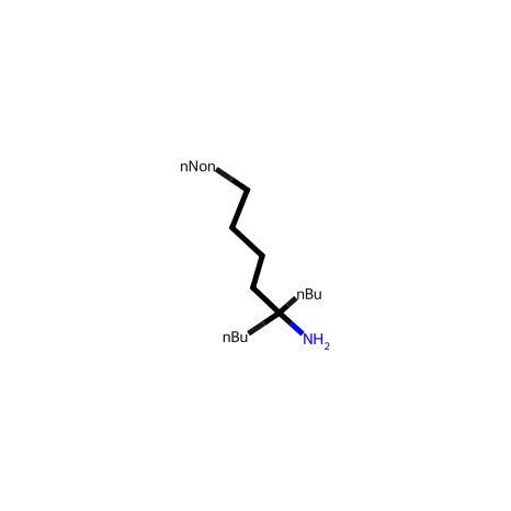 CCCCCCCCCCCCCC(N)(CCCC)CCCC